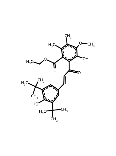 CCOC(=O)c1c(C)c(C)c(OC)c(O)c1C(=O)C=Cc1cc(C(C)(C)C)c(O)c(C(C)(C)C)c1